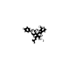 CC(C)Cc1nc(COc2ccc(F)cc2)c(C(=O)O)c(-c2cc3ccnc(Cl)c3s2)c1C(N)=O